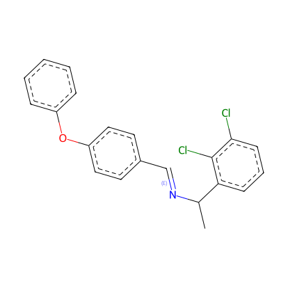 CC(/N=C/c1ccc(Oc2ccccc2)cc1)c1cccc(Cl)c1Cl